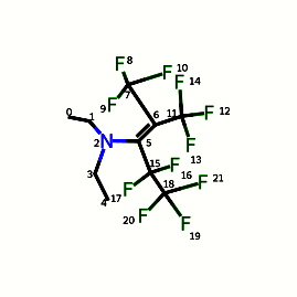 CCN(CC)C(=C(C(F)(F)F)C(F)(F)F)C(F)(F)C(F)(F)F